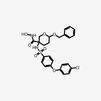 O=C(NO)C1(NS(=O)(=O)c2ccc(Oc3ccc(Cl)cc3)cc2)CCC(OCc2ccccc2)OC1